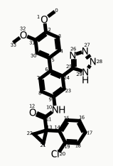 COc1ccc(-c2ccc(NC(=O)C3(c4ccccc4Cl)CC3)cc2-c2nnn[nH]2)cc1OC